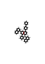 c1ccc(-c2ccc(-c3ccc(N(c4ccccc4-c4cccc(-c5cccc6ccccc56)c4)c4cccc5ccccc45)cc3)cc2)cc1